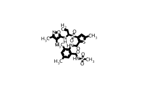 C=CC(Nc1onc(C)c1Cl)S(=O)(=O)c1cc(C)sc1C(=O)Nc1c(C)cc(C)cc1C(=O)NS(C)(=O)=O